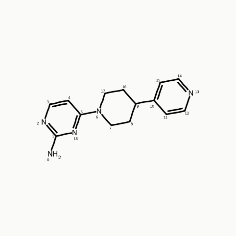 Nc1nccc(N2CCC(c3ccncc3)CC2)n1